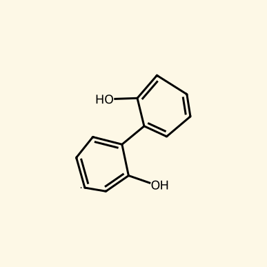 Oc1c[c]ccc1-c1ccccc1O